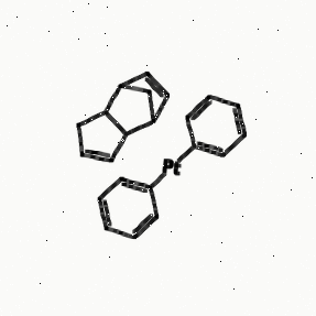 C1=CC2C3C=CC(C3)C2C1.c1cc[c]([Pt][c]2ccccc2)cc1